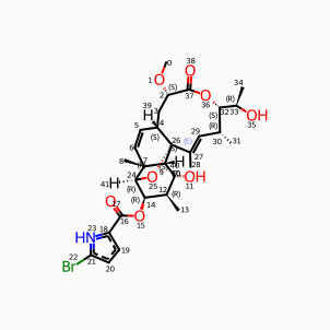 CO[C@H]1C[C@H]2C=C[C@]3(C)[C@H]4[C@H](O)[C@@H](C)[C@@H](OC(=O)c5ccc(Br)[nH]5)[C@@H]3O[C@@]24/C(C)=C/[C@@H](C)[C@@H]([C@@H](C)O)OC1=O